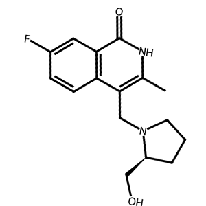 Cc1[nH]c(=O)c2cc(F)ccc2c1CN1CCC[C@H]1CO